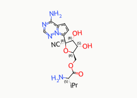 CC(C)[C@H](N)C(=O)OC[C@H]1O[C@@](C#N)(c2ccc3c(N)ncnn23)[C@H](O)[C@@H]1O